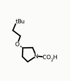 CC(C)(C)CCO[C@H]1CCN(C(=O)O)C1